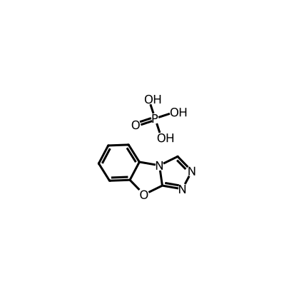 O=P(O)(O)O.c1ccc2c(c1)oc1nncn12